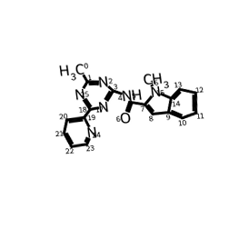 Cc1nc(NC(=O)c2cc3ccccc3n2C)nc(-c2ccccn2)n1